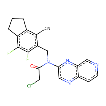 N#Cc1c(CN(C(=O)CCl)c2cnc3ccncc3n2)c(F)c(F)c2c1CCC2